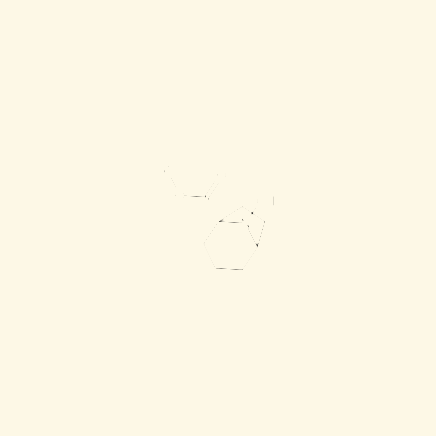 COC(=O)[C@]12CCC[C@H](CC1)N2C